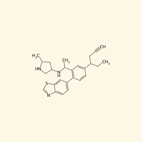 C#CCC(CC)c1ccc(-c2ccc3ncsc3c2)c(C(C)NC2CNC(C)C2)c1